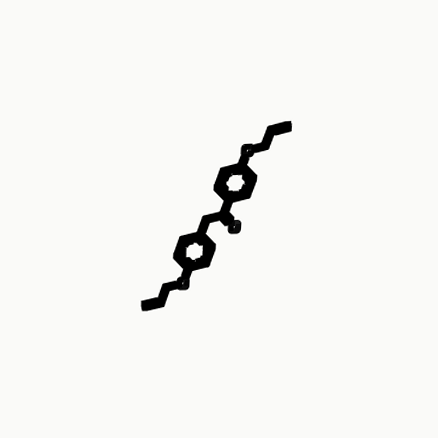 C=CCOc1ccc(CC(=O)c2ccc(OCC=C)cc2)cc1